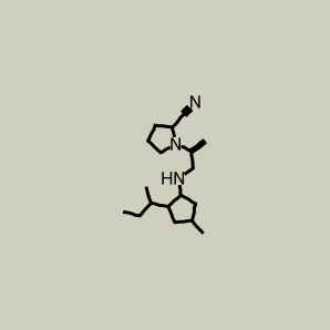 C=C(CNC1CC(C)CC1C(C)CC)N1CCCC1C#N